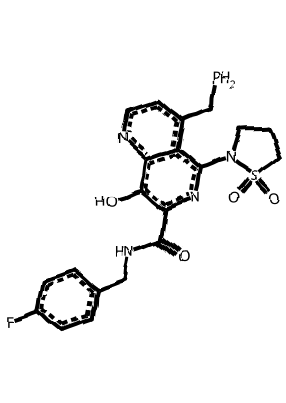 O=C(NCc1ccc(F)cc1)c1nc(N2CCCS2(=O)=O)c2c(CP)ccnc2c1O